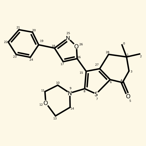 CC1(C)CC(=O)c2sc(N3CCOCC3)c(-c3cc(-c4ccccc4)no3)c2C1